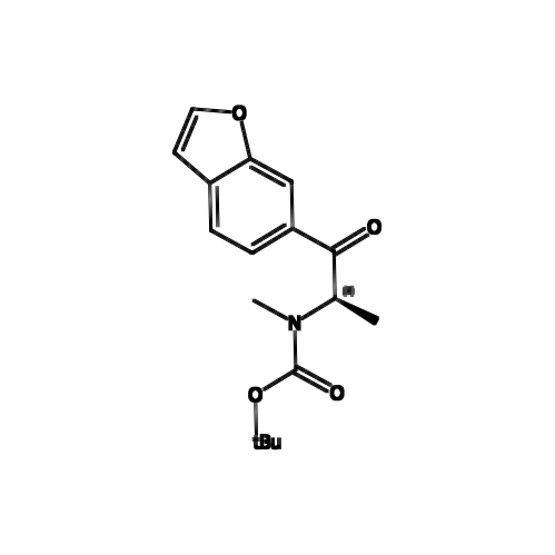 C[C@H](C(=O)c1ccc2ccoc2c1)N(C)C(=O)OC(C)(C)C